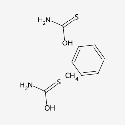 C.NC(O)=S.NC(O)=S.c1ccccc1